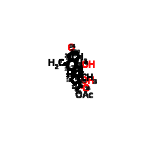 C=C1C[C@@H]2[C@H](C(O)C[C@@]3(C)[C@H]2CC[C@]3(O)C(=O)COC(C)=O)[C@@]2(C)CCC(=O)C=C12